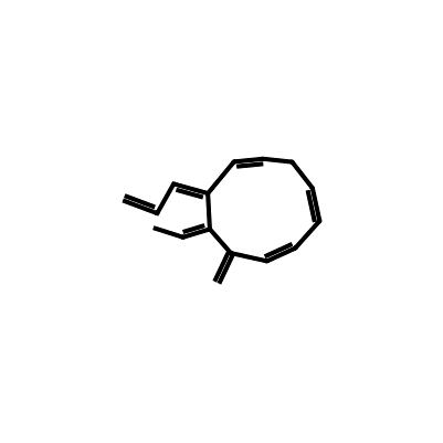 C=C/C=C1/C=C\C/C=C\C=C/C(=C)/C1=C/C